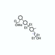 CCC(O)(/C=C/c1ccc(C(CC)(CC)c2ccc(-c3ccccc3CC(=O)OC)cc2)cc1C)CC